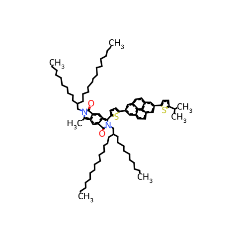 CCCCCCCCCCCCCCC(CCCCCCCCCC)CN1C(=O)c2cc3c(cc2=C1C)C(=O)N(CC(CCCCCCCCCC)CCCCCCCCCCCCCC)C=3c1ccc(-c2cc3ccc4cc(-c5ccc(C(C)C)s5)cc5ccc(c2)c3c45)s1